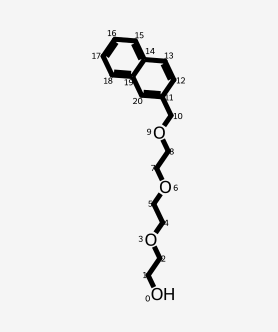 OCCOCCOCCOCc1ccc2ccccc2c1